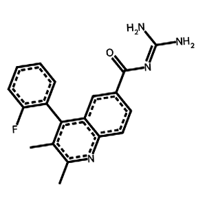 Cc1nc2ccc(C(=O)N=C(N)N)cc2c(-c2ccccc2F)c1C